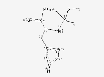 CCC(C)(C)N[C@H](Cc1c[nH]cn1)C(N)=O